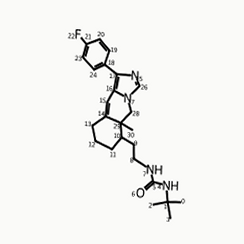 CC(C)(C)NC(=O)NCCC1CCCC2=Cc3c(-c4ccc(F)cc4)ncn3CC21C